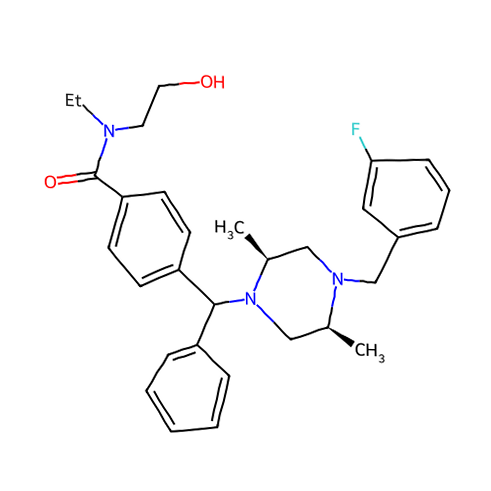 CCN(CCO)C(=O)c1ccc(C(c2ccccc2)N2C[C@H](C)N(Cc3cccc(F)c3)C[C@@H]2C)cc1